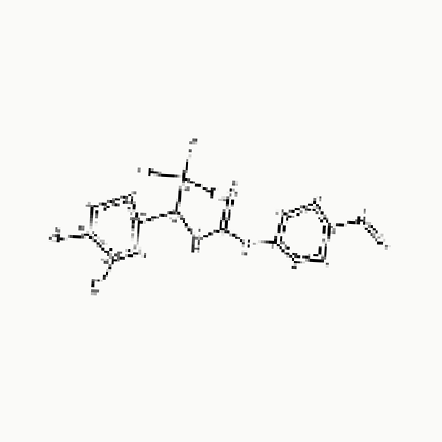 O=Nc1ccc(OC(=O)NC(c2ccc(Cl)c(Cl)c2)C(F)(F)F)cc1